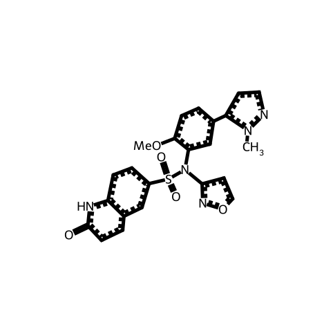 COc1ccc(-c2ccnn2C)cc1N(c1ccon1)S(=O)(=O)c1ccc2[nH]c(=O)ccc2c1